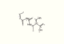 C=C(/C=C\C)NC(=C)NC(C)[C@@H](CC(C)C)C(=C)O